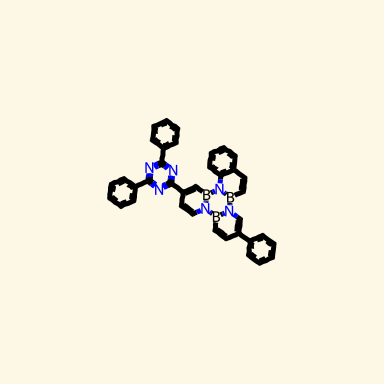 C1=CC(c2ccccc2)=CN2B1N1C=CC(c3nc(-c4ccccc4)nc(-c4ccccc4)n3)=CB1N1B2C=Cc2ccccc21